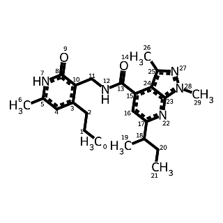 CCCc1cc(C)[nH]c(=O)c1CNC(=O)c1cc(C(C)CC)nc2c1c(C)nn2C